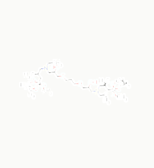 CCN(CC(C)C[Si](OC)(OC)OC)CC(O)COCCCOCC(O)CN(CC)CC(C)C[Si](OC)(OC)OC